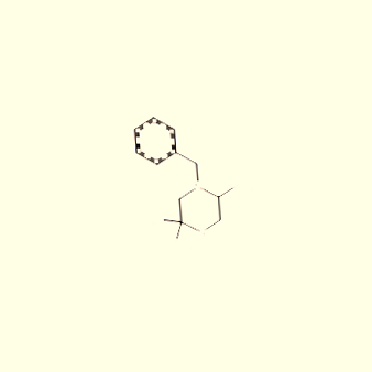 CC1CNC(C)(C)CN1Cc1ccccc1